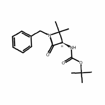 CC(C)(C)OC(=O)N[C@H]1C(=O)N(Cc2ccccc2)C1(C)C